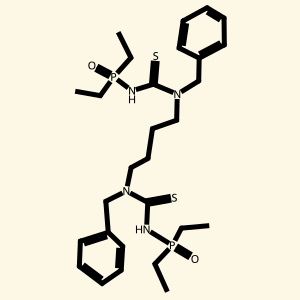 CCP(=O)(CC)NC(=S)N(CCCCN(Cc1ccccc1)C(=S)NP(=O)(CC)CC)Cc1ccccc1